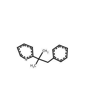 CC(C)(Cc1ccccc1)c1ccccn1